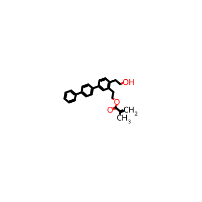 C=C(C)C(=O)OCCc1cc(-c2ccc(-c3ccccc3)cc2)ccc1CCO